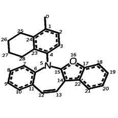 Cc1ccc(N2c3ccccc3C=Cc3c2oc2ccccc32)c2c1CCCC2